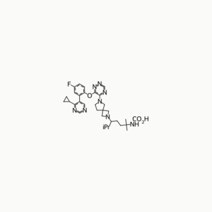 CC(C)C(CCC(C)(C)NC(=O)O)N1CC2(CCN(c3ncnnc3Oc3ccc(F)cc3-c3cncnc3C3CC3)C2)C1